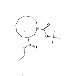 CCOC(=O)C1CCCCCCCN(C(=O)OC(C)(C)C)C1